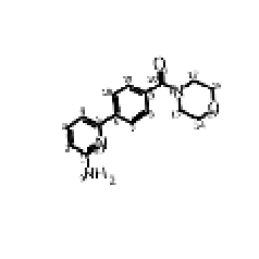 Nc1cccc(-c2ccc(C(=O)N3CCOCC3)cc2)n1